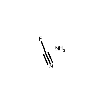 N.N#CF